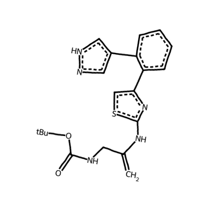 C=C(CNC(=O)OC(C)(C)C)Nc1nc(-c2ccccc2-c2cn[nH]c2)cs1